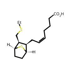 CCSC[C@H]1[C@@H](C/C=C\CCCC(=O)O)[C@H]2CC[C@@H]1S2